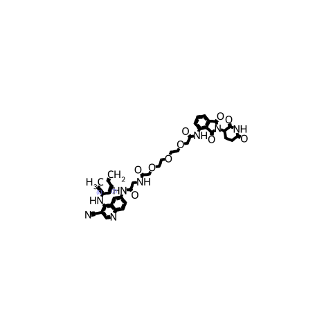 C=C/C=C\C(=C/C)Nc1c(C#N)cnc2ccc(NC(=O)CNC(=O)COCCOCCOCC(=O)Nc3cccc4c3C(=O)N(C3CCC(=O)NC3=O)C4=O)cc12